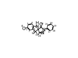 COc1ccc2c(c1)C(C)(C)C1(N2)C(=O)N(c2ccccc2)N=C1C